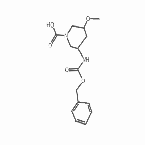 COC1CC(NC(=O)OCc2ccccc2)CN(C(=O)O)C1